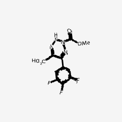 COC(=O)N1N=C(c2cc(F)c(F)c(F)c2)C(C(=O)O)=NN1